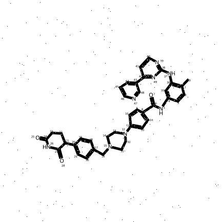 Cc1ccc(NC(=O)c2ccc(N3CCN(Cc4ccc(C5CCC(=O)NC5=O)cc4)CC3)cc2)cc1Nc1nccc(-c2cccnc2)n1